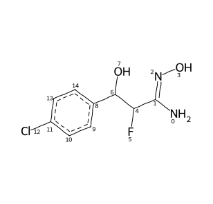 NC(=NO)C(F)C(O)c1ccc(Cl)cc1